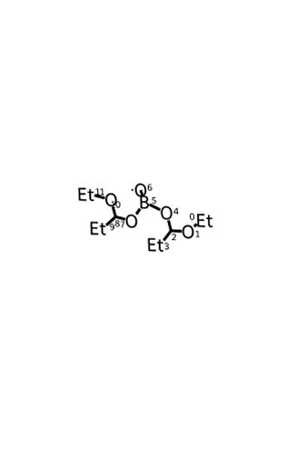 CCOC(CC)OB([O])OC(CC)OCC